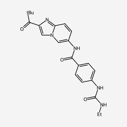 CCNC(=O)Nc1ccc(C(=O)Nc2ccc3nc(C(=O)C(C)(C)C)cn3c2)cc1